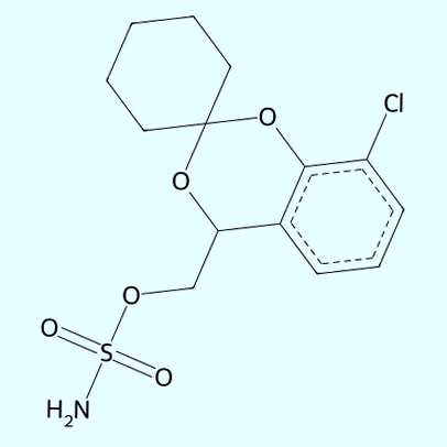 NS(=O)(=O)OCC1OC2(CCCCC2)Oc2c(Cl)cccc21